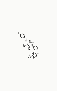 Cc1cnc(C(C)(C)C)nc1-c1cccc(-n2c(C)nc(OCc3ccc(F)cc3)c(Br)c2=O)c1